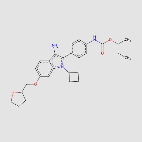 CCC(C)OC(=O)Nc1ccc(-c2c(N)c3ccc(OCC4CCCO4)cc3n2C2CCC2)cc1